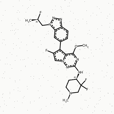 COc1nc(N[C@@H]2CCN(C)CC2(F)F)nn2cc(F)c(-c3ccc4nnn(C[C@@H](C)F)c4c3)c12